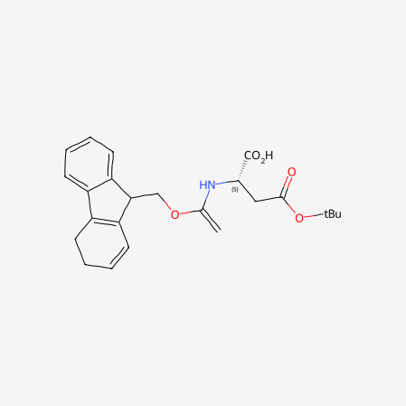 C=C(N[C@@H](CC(=O)OC(C)(C)C)C(=O)O)OCC1C2=C(CCC=C2)c2ccccc21